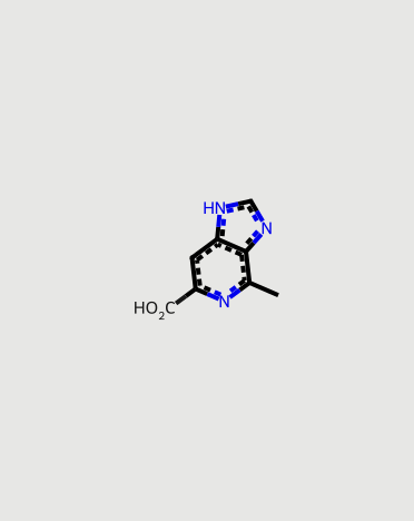 Cc1nc(C(=O)O)cc2[nH]cnc12